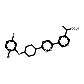 CC(C(=O)O)c1cncc(-c2ccc(C3CCC(Oc4cc(F)ccc4Br)CC3)nn2)c1